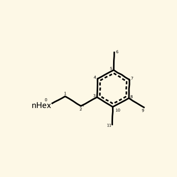 CCCCCCC[CH]c1cc(C)cc(C)c1C